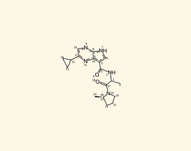 CC(NC(=O)c1c[nH]c2ncc(C3CC3)nc12)C(=O)N1CCC[C@H]1C